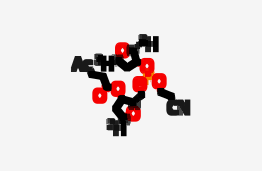 [2H]C[C@H]1O[C@@H]([3H])CC1OP(OCCC#N)OC[C@H]1O[C@@H]([3H])CC1OC(=O)CCC(C)=O